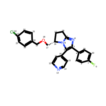 Fc1ccc(-c2nc3n(c2-c2ccncc2)[C@H](COCc2ccc(Cl)cc2)CC3)cc1